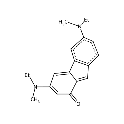 CCN(C)C1=CC(=O)C2=Cc3ccc(N(C)CC)cc3C2=C1